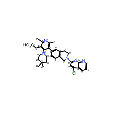 Cc1nc(C)c(-c2ccc3c(c2)CCN(c2cc(Cl)c4cccnc4n2)C3)c(N2CCC(C)(C)CC2)c1CC(=O)O